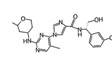 Cc1cnc(NC2CCOC(C)C2)nc1-n1cnc(C(=O)N[C@H](CO)c2cccc(Cl)c2)c1